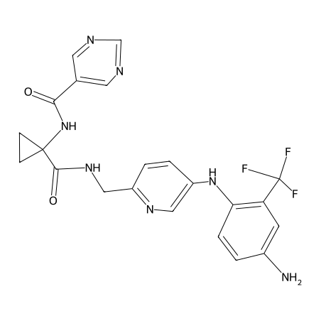 Nc1ccc(Nc2ccc(CNC(=O)C3(NC(=O)c4cncnc4)CC3)nc2)c(C(F)(F)F)c1